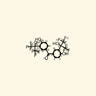 O=C(c1ccc(O)c(C(O)(C(F)(F)F)C(F)(F)F)c1)c1ccc(O)c(C(O)(C(F)(F)F)C(F)(F)F)c1